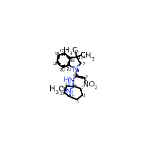 CN1C2CCCC1(N/C(=C\[N+](=O)[O-])N1CC(C)(C)c3ccccc31)CC2